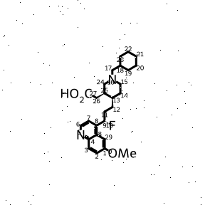 COc1ccc2nccc([C@@H](F)CC[C@@H]3CCN(CC4CCCCC4)C[C@@H]3CC(=O)O)c2c1